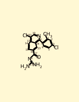 Cc1cc(Cl)ccc1-c1ncc(Cl)c2ccc(C(=O)N=C(N)N)cc12